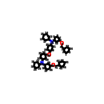 c1ccc(COc2cccc(N(c3ccccc3)c3ccc(Oc4cccc(N(c5ccccc5)c5cccc(OCc6ccccc6)c5)c4)cc3)c2)cc1